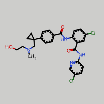 CN(CCO)CC1(c2ccc(C(=O)Nc3ccc(Cl)cc3C(=O)Nc3ccc(Cl)cn3)cc2)CC1